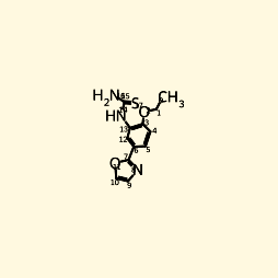 CCOc1ccc(-c2ncco2)cc1NC(N)=S